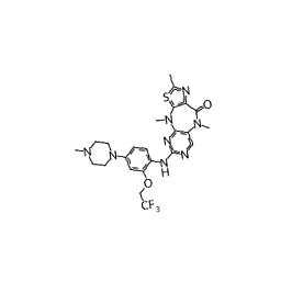 Cc1nc2c(s1)N(C)c1nc(Nc3ccc(N4CCN(C)CC4)cc3OCC(F)(F)F)ncc1N(C)C2=O